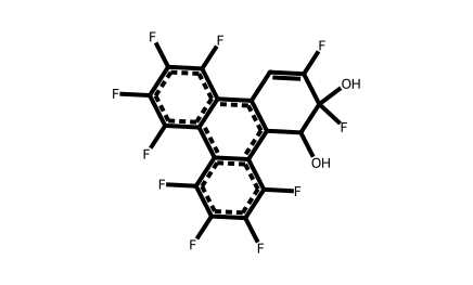 OC1c2c(c3c(F)c(F)c(F)c(F)c3c3c(F)c(F)c(F)c(F)c23)C=C(F)C1(O)F